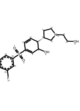 O=S(=O)(C1=CC(O)C([C@@H]2CCN(CCO)C2)C=C1)c1cccc(F)c1